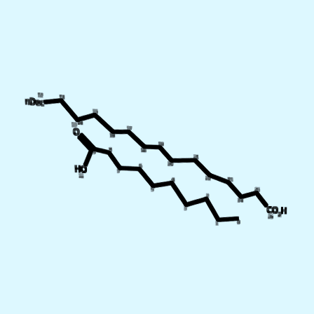 CCCCCCCCCC(=O)O.CCCCCCCCCCCCCCCCCCCCCCCC(=O)O